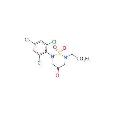 CCOC(=O)CN1CC(=O)CN(c2c(Cl)cc(Cl)cc2Cl)S1(=O)=O